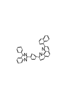 c1ccc(-c2nc(-c3ccc(-c4ccc5ccc6ccc(-c7cccc8ccccc78)nc6c5n4)cc3)nc3ccccc23)cc1